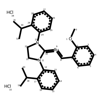 COc1ccccc1[CH]=[Ru]=[C]1N(c2ccccc2C(C)C)CCN1c1ccccc1C(C)C.Cl.Cl